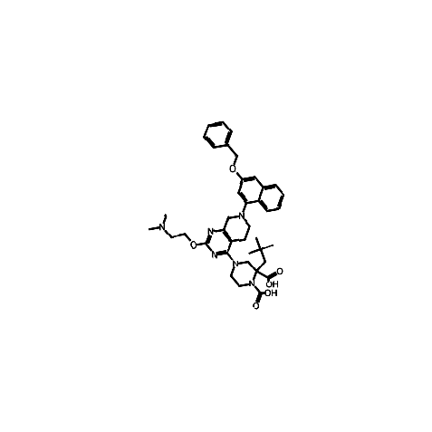 CN(C)CCOc1nc2c(c(N3CCN(C(=O)O)C(CC(C)(C)C)(C(=O)O)C3)n1)CCN(c1cc(OCc3ccccc3)cc3ccccc13)C2